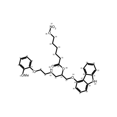 COc1ccccc1OCCNCC(COc1cccc2[nH]c3ccccc3c12)OC(=O)CCCCCO[N+](=O)[O-]